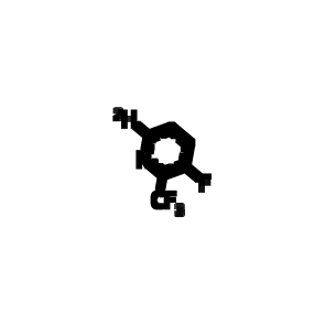 [2H]c1ccc(F)c(C(F)(F)F)n1